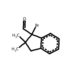 CC1(C)Cc2ccccc2C1(Br)C=O